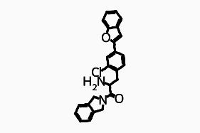 NC(Cc1ccc(-c2cc3ccccc3o2)cc1Cl)C(=O)N1Cc2ccccc2C1